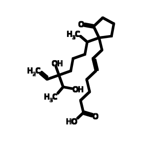 C=CC(O)(CCCC(C)C1(CC=CCCCC(=O)O)CCCC1=O)C(C)O